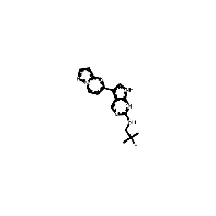 CC(C)(F)CNc1ncc2c(-c3ccn4nccc4n3)c[nH]c2n1